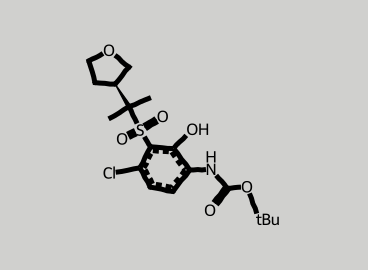 CC(C)(C)OC(=O)Nc1ccc(Cl)c(S(=O)(=O)C(C)(C)[C@H]2CCOC2)c1O